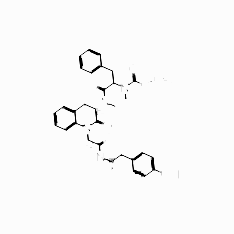 C[C@@H](C(=O)N[C@@H](Cc1ccc(O)cc1)C(=O)O)N1C(=O)[C@@H](N(C)C(=O)C(Cc2ccccc2)N(C)C(=O)OC(C)(C)C)Cc2ccccc21